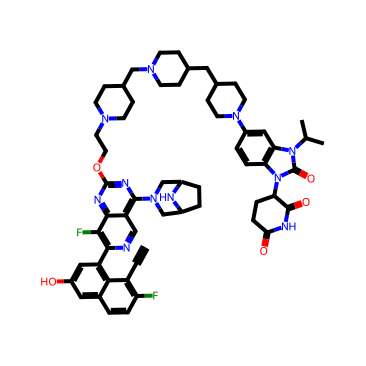 C#Cc1c(F)ccc2cc(O)cc(-c3ncc4c(N5CC6CCC(C5)N6)nc(OCCN5CCC(CN6CCC(CC7CCN(c8ccc9c(c8)n(C(C)C)c(=O)n9C8CCC(=O)NC8=O)CC7)CC6)CC5)nc4c3F)c12